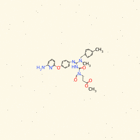 COC(=O)CCN(C=O)C(=O)N/C(=N\c1ccc(Oc2cccc(N)n2)cc1)N(C)Cc1ccc(C)cc1